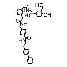 C[C@H](Cc1cccc(CC(=O)NCc2ccc(C(=O)NCCc3ccc(-c4ccccc4)cc3)cc2)c1)NC[C@@H](O)c1ccc(O)c(CO)c1